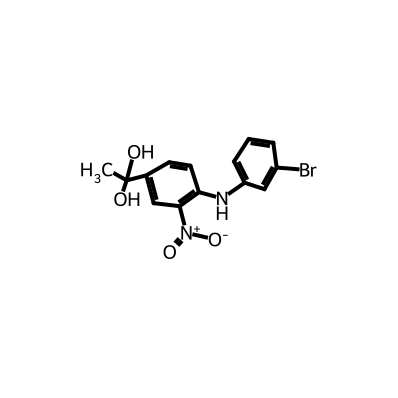 CC(O)(O)c1ccc(Nc2cccc(Br)c2)c([N+](=O)[O-])c1